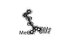 COc1ccc(CC2c3cc(OC)c(OC)cc3CC[N+]2(C)CCCOC(=O)/C=C/C(=O)OCC2CCC[N+]2(C)Cc2ccccc2)cc1